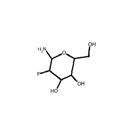 NC1OC(CO)C(O)C(O)C1F